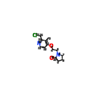 Cc1c(OCCN2CCCC2=O)ccnc1CCl